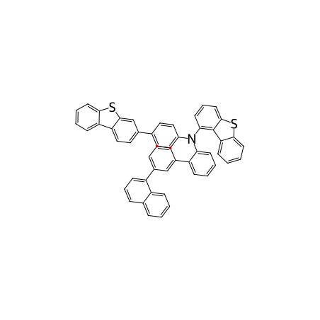 c1cc(-c2ccccc2N(c2ccc(-c3ccc4c(c3)sc3ccccc34)cc2)c2cccc3sc4ccccc4c23)cc(-c2cccc3ccccc23)c1